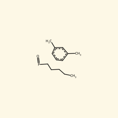 CCCCCP=O.Cc1cccc(C)c1